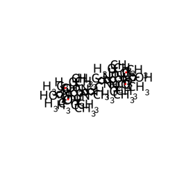 Cc1cc2nc3c4cc(C(C)(C)C)cc5c6c(=O)n(-c7c(C(C)C)cc(O)cc7C(C)C)c(=O)c6c6cc(C(C)(C)C)cc(c3nc2cc1CCc1cc2nc3c7cc(C(C)(C)C)cc8c9c(=O)n(-c%10c(C(C)C)cc(O)cc%10C(C)C)c(=O)c9c9cc(C(C)(C)C)cc(c3nc2cc1C)c9c78)c6c45